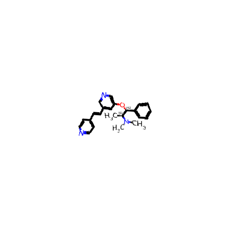 C[C@@H]([C@@H](Oc1cncc(C=Cc2ccncc2)c1)c1ccccc1)N(C)C